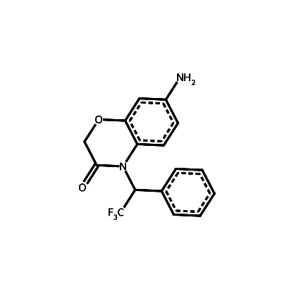 Nc1ccc2c(c1)OCC(=O)N2C(c1ccccc1)C(F)(F)F